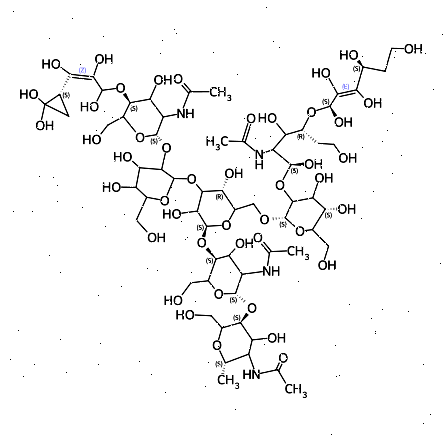 CC(=O)NC1C(O)[C@H](OC(O)/C(O)=C(/O)[C@@H]2CC2(O)O)C(CO)O[C@H]1OC1C(OC2C(O)[C@H](O[C@@H]3C(CO)O[C@@H](O[C@@H]4C(CO)O[C@@H](C)C(NC(C)=O)C4O)C(NC(C)=O)C3O)OC(CO[C@H]3OC(CO)[C@@H](O)C(O)C3O[C@H](O)C(NC(C)=O)C(O)[C@@H](CCO)O[C@H](O)/C(O)=C(\O)[C@@H](O)CCO)[C@H]2O)OC(CO)C(O)C1O